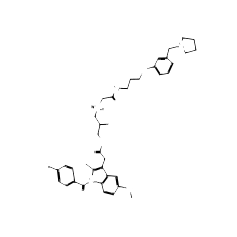 COc1ccc2c(c1)c(CC(=O)OCC(O)CS(=O)(=O)CC(=O)NCCCOc1cccc(CN3CCCC3)c1)c(C)n2C(=O)c1ccc(Cl)cc1